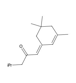 CC1=CC(=CC(=O)CC(C)C)CC(C)(C)C1